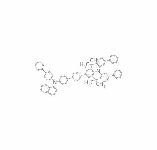 CC1(C)c2ccc(-c3ccccc3)cc2N2c3cc(-c4ccccc4)ccc3C(C)(C)c3cc(-c4ccc(-c5ccc(N(c6ccc(-c7ccccc7)cc6)c6cccc7ccccc67)cc5)cc4)cc1c32